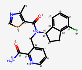 Cc1ncsc1C(=O)N(Cc1cccnc1C(N)=O)[C@@H]1CCc2c(F)cccc21